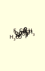 CC(CC(F)F)N(C(=O)CC1(C(=O)O)CCN(C(=O)N(C)c2ccc(F)cc2)CC1)c1ccccc1